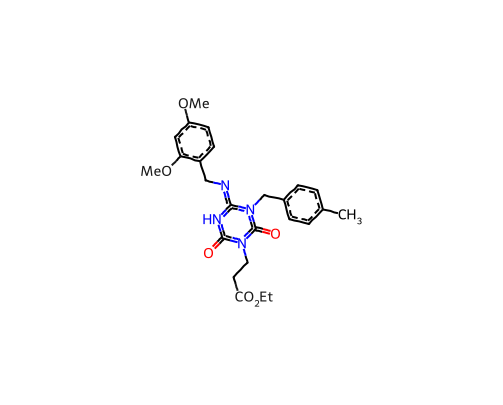 CCOC(=O)CCn1c(=O)[nH]/c(=N\Cc2ccc(OC)cc2OC)n(Cc2ccc(C)cc2)c1=O